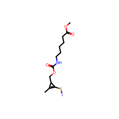 COC(=O)CCCCCNC(=O)OCC1C(C)=C1SI